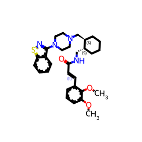 COc1cccc(/C=C/C(=O)NC[C@H]2CCCC[C@@H]2CN2CCN(c3nsc4ccccc34)CC2)c1OC